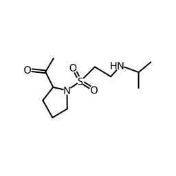 CC(=O)C1CCCN1S(=O)(=O)CCNC(C)C